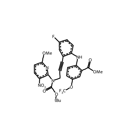 COC(=O)c1cc(OC(F)(F)F)ccc1Nc1ccc(F)cc1C#CCN(C(=O)OC(C)(C)C)c1nc(OC)ccc1[N+](=O)[O-]